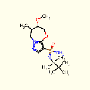 CO[C@H]1COc2c(S(N)(=O)=N[Si](C)(C)C(C)(C)C)cnn2CC1C